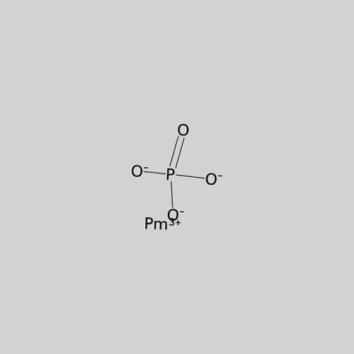 O=P([O-])([O-])[O-].[Pm+3]